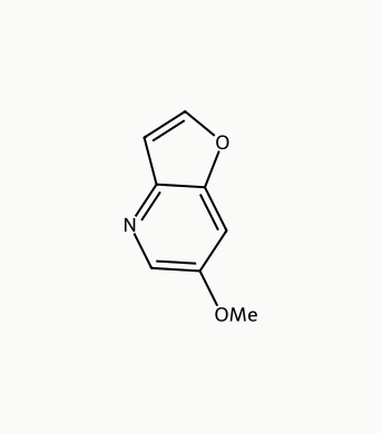 COc1cnc2ccoc2c1